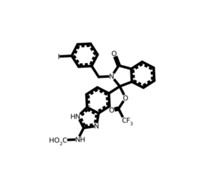 O=C(O)Nc1nc2cc(C3(OC(=O)C(F)(F)F)c4ccccc4C(=O)N3Cc3cccc(I)c3)ccc2[nH]1